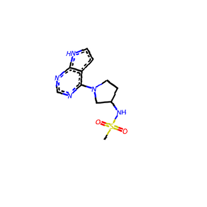 CS(=O)(=O)NC1CCN(c2ncnc3[nH]ccc23)C1